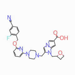 N#Cc1ccc(COc2cccc(N3CCN(Cc4cn5cc(C(=O)O)cc5n4CC4CCO4)CC3)n2)c(F)c1